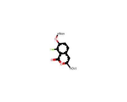 CCCCCCCCCOc1ccc2cc(CCCCCCCC)oc(=O)c2c1F